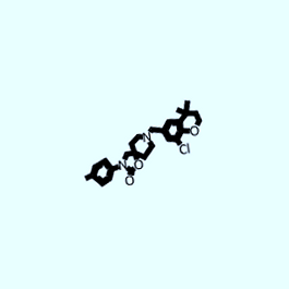 Cc1ccc(N2CC3(CCN(Cc4cc(Cl)c5c(c4)C(C)(C)CCO5)CC3)OC2=O)cc1